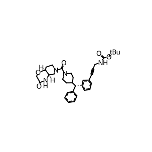 CC(C)(C)OC(=O)NCC#Cc1cccc([C@H](c2ccccc2)C2CCN(C(=O)N3CC[C@@H]4OCC(=O)N[C@@H]4C3)CC2)c1